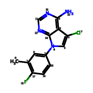 Cc1cc(-n2cc(Cl)c3c(N)ncnc32)ccc1F